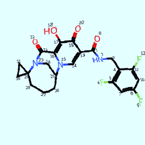 O=C(NCc1c(F)cc(F)cc1F)c1cn2c(c(O)c1=O)C(=O)N1CC2CCCC12CC2